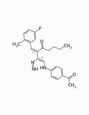 CCCCC(=O)C(=C\c1cc(F)ccc1C)/C(=C/Nc1ccc(C(C)=O)cc1)N=N